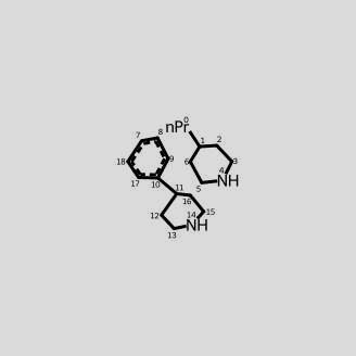 CCCC1CCNCC1.c1ccc(C2CCNCC2)cc1